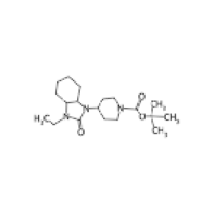 CCN1C(=O)N(C2CCN(C(=O)OC(C)(C)C)CC2)C2CCCCC21